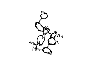 N=C(Nc1cncc(-c2cnc3[nH]nc(-c4nc5c(C6C=CC=NC6)cccc5[nH]4)c3c2)c1)N1CCOCC1